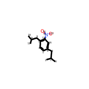 CC(C)Cc1ccc(CC(C)C)c([N+](=O)[O-])c1